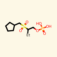 CCC(COP(=O)(O)O)S(=O)(=O)CC1CCCC1